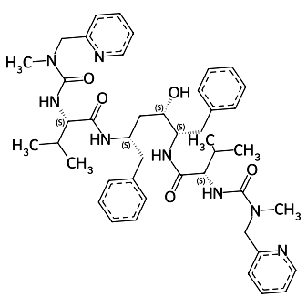 CC(C)[C@H](NC(=O)N(C)Cc1ccccn1)C(=O)N[C@@H](Cc1ccccc1)C[C@H](O)[C@H](Cc1ccccc1)NC(=O)[C@@H](NC(=O)N(C)Cc1ccccn1)C(C)C